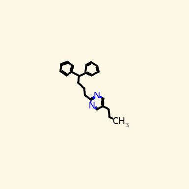 CCCc1cnc(CCCC(c2ccccc2)c2ccccc2)nc1